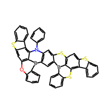 c1ccc(N2c3cc4c(cc3B3c5ccccc5Oc5cc6sc7ccccc7c6c2c53)B2c3ccccc3Sc3c2c(cc2sc5ccccc5c32)S4)cc1